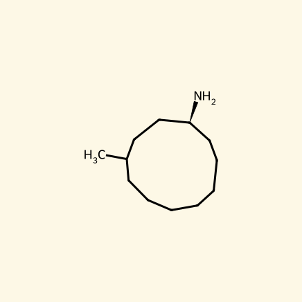 CC1CCCCCCC[C@H](N)CC1